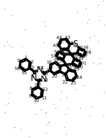 c1ccc(-c2nc(-c3ccccc3)nc(-c3ccc4c(c3)-c3ccccc3C43c4ccccc4C4(c5ccccc5Sc5ccccc54)c4ccccc43)n2)cc1